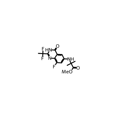 COC(=O)C(C)(C)Nc1cc(F)c2nc(C(C)(F)F)[nH]c(=O)c2c1